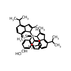 CC1=Cc2c(C(C)C)ccc(C)c2[CH]1[Zr](=[SiH2])([c]1ccccc1)([c]1ccccc1)[CH]1C(C)=Cc2c(C(C)C)ccc(C)c21.Cl.Cl